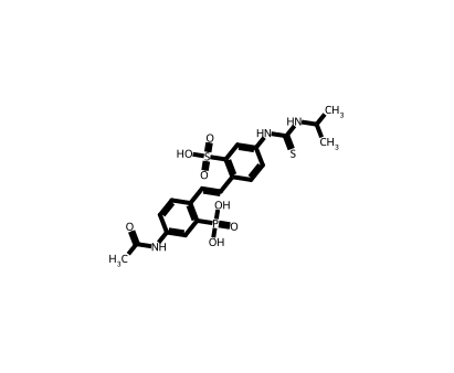 CC(=O)Nc1ccc(/C=C/c2ccc(NC(=S)NC(C)C)cc2S(=O)(=O)O)c(P(=O)(O)O)c1